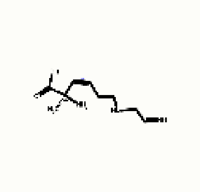 C[C@@](N)(/C=C\CCNCC=N)C(=O)O